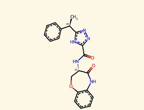 C[C@H](c1ccccc1)c1nnc(C(=O)N[C@H]2COc3ccccc3NC2=O)[nH]1